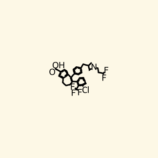 O=C(O)c1ccc2c(c1)CCCC(c1cccc(Cl)c1C(F)(F)F)=C2c1ccc(CC2CN(CCC(F)F)C2)cc1